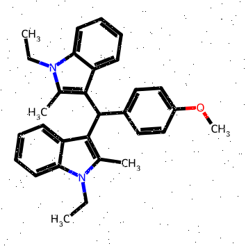 CCn1c(C)c(C(c2ccc(OC)cc2)c2c(C)n(CC)c3ccccc23)c2ccccc21